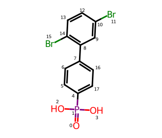 O=P(O)(O)c1ccc(-c2cc(Br)ccc2Br)cc1